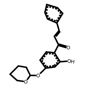 O=C(C=Cc1ccccc1)c1ccc(OC2CCCCO2)cc1O